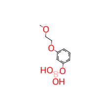 COCCOc1cccc(OB(O)O)c1